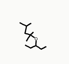 CCC(CC)OC(C)(C)CC(C)C